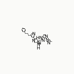 Cc1cn(-c2nccc3[nH]c(-c4n[nH]c5cnc(-c6cncc(CCCc7ccccc7)c6)cc45)nc23)cn1